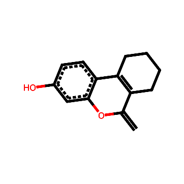 C=C1Oc2cc(O)ccc2C2=C1CCCC2